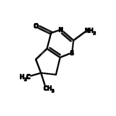 CC1(C)Cc2sc(N)nc(=O)c2C1